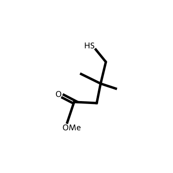 COC(=O)CC(C)(C)CS